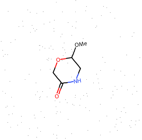 COC1CNC(=O)CO1